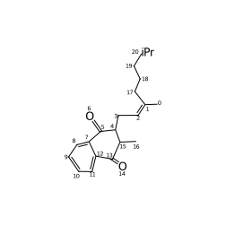 CC(=CCC1C(=O)c2ccccc2C(=O)C1C)CCCC(C)C